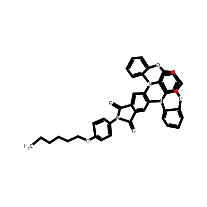 CCCCCCOc1ccc(N2C(=O)c3cc(N4c5ccccc5Oc5ccccc54)c(N4c5ccccc5Oc5ccccc54)cc3C2=O)cc1